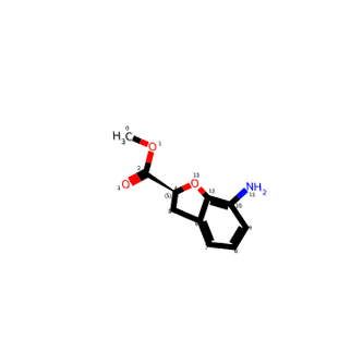 COC(=O)[C@@H]1Cc2cccc(N)c2O1